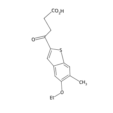 CCOc1cc2cc(C(=O)CCC(=O)O)sc2cc1C